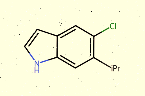 CC(C)c1cc2[nH]ccc2cc1Cl